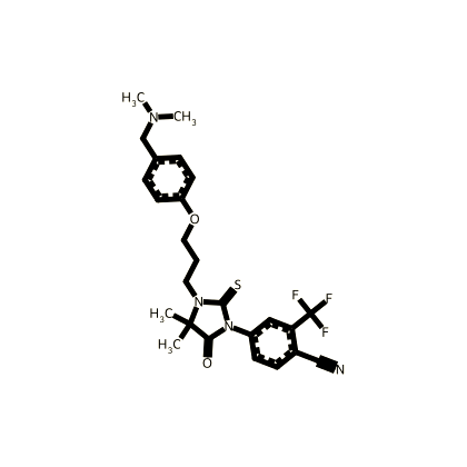 CN(C)Cc1ccc(OCCCN2C(=S)N(c3ccc(C#N)c(C(F)(F)F)c3)C(=O)C2(C)C)cc1